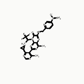 Cc1ncnc(C2CC2)c1-c1nc(C)c2nc(NCc3ccc([S+](N)[O-])cn3)c(=O)n(C(C)C(F)(F)F)c2n1